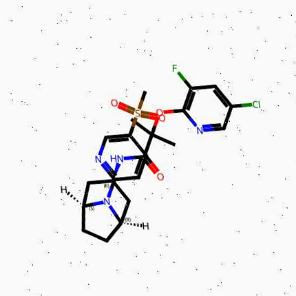 CC(C)(Oc1ncc(Cl)cc1F)C(=O)N[C@H]1C[C@H]2CC[C@@H](C1)N2c1ccc(S(C)(=O)=O)cn1